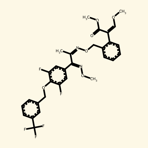 COC=C(C(=O)OC)c1ccccc1CON=C(C)C(=NOC)c1cc(F)c(OCc2cccc(C(F)(F)F)c2)c(F)c1